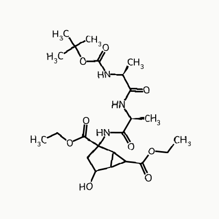 CCOC(=O)C1C2C(O)CC(NC(=O)[C@H](C)NC(=O)[C@H](C)NC(=O)OC(C)(C)C)(C(=O)OCC)C12